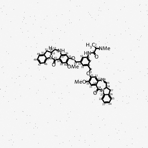 CNC(C)C(=O)Nc1cc(COc2cc3c(cc2OC)C(=O)N2c4ccccc4CC2C=N3)cc(COc2cc3c(cc2OC)C(=O)N2c4ccccc4C[C@H]2CN3)c1